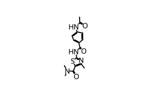 CC(=O)Nc1ccc(C(=O)Nc2nc(C)c(C(=O)N(C)C)s2)cc1